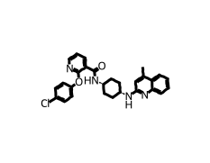 Cc1cc(N[C@H]2CC[C@@H](NC(=O)c3cccnc3Oc3ccc(Cl)cc3)CC2)nc2ccccc12